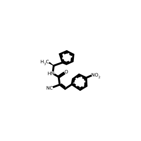 C[C@H](NC(=O)C(C#N)=Cc1ccc([N+](=O)[O-])cc1)c1ccccc1